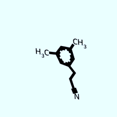 Cc1cc(C)cc(CCC#N)c1